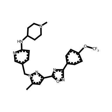 Cc1cc(-c2nc(-c3ccc(OC(F)(F)F)cc3)no2)nn1Cc1ccc(NC2CCN(C)CC2)nc1